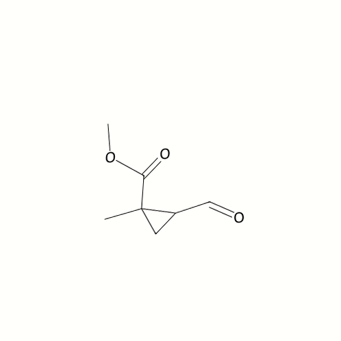 COC(=O)C1(C)CC1C=O